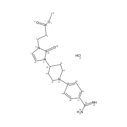 COC(=O)CCn1ccn(C2CCN(c3ccc(C(=N)N)cc3)CC2)c1=O.Cl